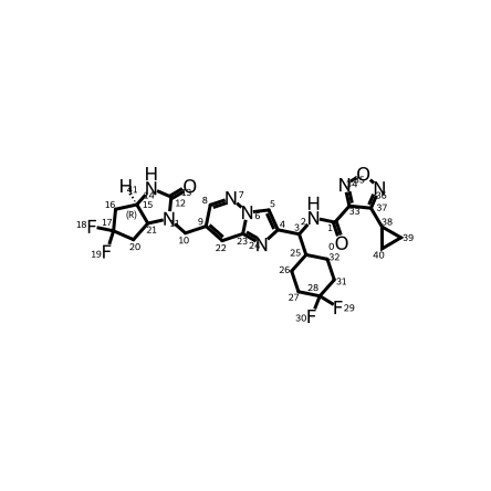 O=C(NC(c1cn2ncc(CN3C(=O)N[C@@H]4CC(F)(F)CC43)cc2n1)C1CCC(F)(F)CC1)c1nonc1C1CC1